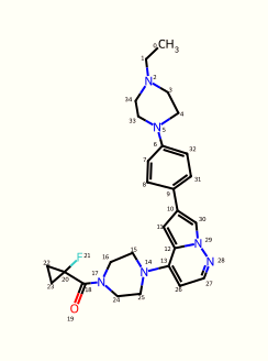 CCN1CCN(c2ccc(-c3cc4c(N5CCN(C(=O)C6(F)CC6)CC5)ccnn4c3)cc2)CC1